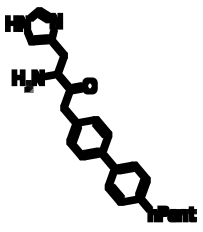 CCCCCc1ccc(-c2ccc(CC(=O)C(N)Cc3c[nH]cn3)cc2)cc1